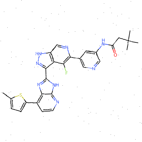 Cc1ccc(-c2ccnc3[nH]c(-c4n[nH]c5cnc(-c6cncc(NC(=O)CC(C)(C)C)c6)c(F)c45)nc23)s1